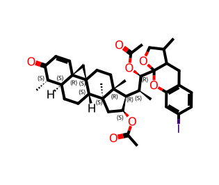 CC(=O)O[C@H]1C[C@@]2(C)[C@@H]3CC[C@H]4[C@H](C)C(=O)C=C[C@@]45C[C@@]35CC[C@]2(C)[C@H]1[C@H](C)[C@@H](OC(C)=O)C12OCC(C)C1Cc1ccc(I)cc1O2